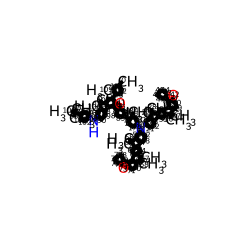 Cc1ccc(-c2cc3c(c4c2oc2cc(-c5ccc(N(c6ccc7c(c6)C(C)(C)c6cc8c(cc6-7)C(C)(C)c6ccc7oc9ccccc9c7c6-8)c6ccc7c(c6)C(C)(C)c6cc8c(cc6-7)C(C)(C)c6ccc7oc9ccccc9c7c6-8)cc5C)ccc24)-c2ccc(Nc4ccc(C(C)(C)C)cc4)cc2C3(C)C)c(C)c1